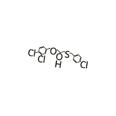 OC(COCc1ccc(Cl)c(Cl)c1)CSCc1ccc(Cl)cc1